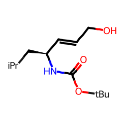 CC(C)C[C@@H](C=CCO)NC(=O)OC(C)(C)C